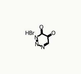 Br.O=C1C=NN=NC1=O